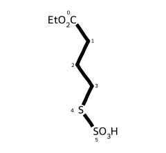 CCOC(=O)CCCSS(=O)(=O)O